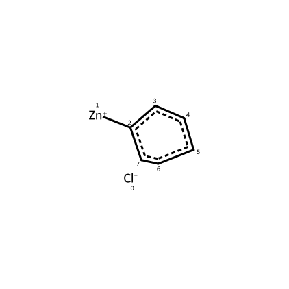 [Cl-].[Zn+][c]1ccccc1